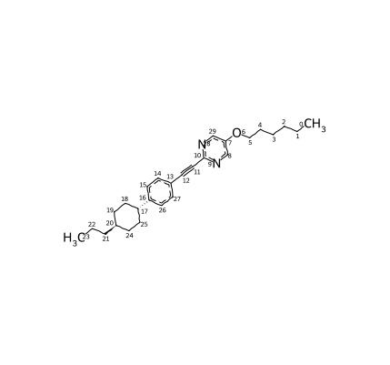 CCCCCCOc1cnc(C#Cc2ccc([C@H]3CC[C@H](CCC)CC3)cc2)nc1